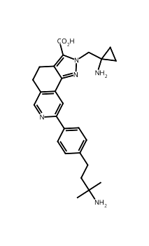 CC(C)(N)CCc1ccc(-c2cc3c(cn2)CCc2c-3nn(CC3(N)CC3)c2C(=O)O)cc1